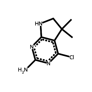 CC1(C)CNc2nc(N)nc(Cl)c21